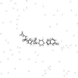 O=C(N[C@H]1CC[C@@H](c2nc3cc(Cl)ccc3o2)CC1)c1ccc([S@+]([O-])CC2CC2)o1